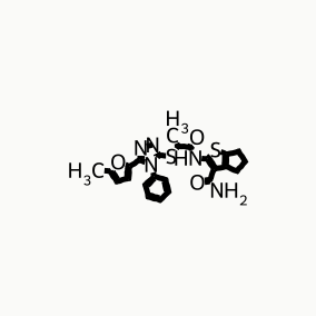 Cc1ccc(-c2nnc(SC(C)C(=O)Nc3sc4c(c3C(N)=O)CCC4)n2-c2ccccc2)o1